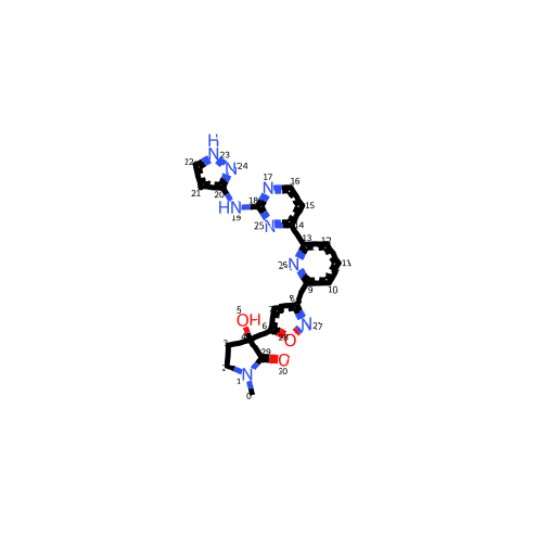 CN1CCC(O)(c2cc(-c3cccc(-c4ccnc(Nc5cc[nH]n5)n4)n3)no2)C1=O